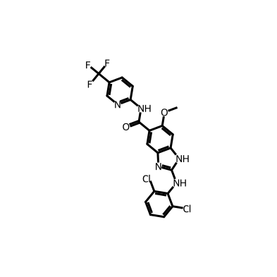 COc1cc2[nH]c(Nc3c(Cl)cccc3Cl)nc2cc1C(=O)Nc1ccc(C(F)(F)F)cn1